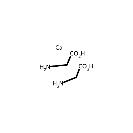 NCC(=O)O.NCC(=O)O.[Ca]